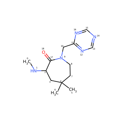 CNC1CC(C)(C)CCN(Cc2ncncn2)C1=O